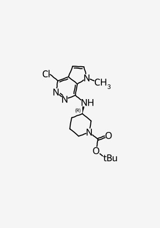 Cn1ccc2c(Cl)nnc(N[C@@H]3CCCN(C(=O)OC(C)(C)C)C3)c21